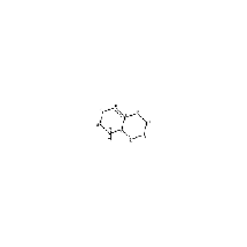 C1=C2CCCCC2NCC1